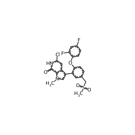 Cn1cc(-c2cc(CS(C)(=O)=O)ccc2Oc2ccc(F)cc2F)c2cc(Cl)[nH]c(=O)c21